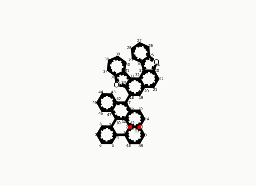 c1ccc(-c2ccccc2-c2c3ccccc3c(-c3cc4ccc5oc6ccccc6c5c4c4c3oc3ccccc34)c3ccccc23)cc1